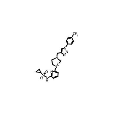 O=S(=O)(Nc1cccc(N2CCN(Cc3cn(-c4ccc(C(F)(F)F)cc4)nn3)CC2)n1)C1CC1